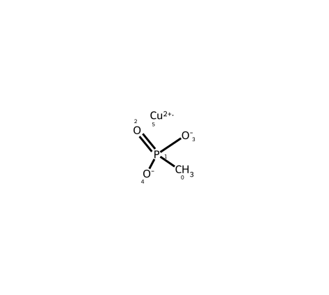 CP(=O)([O-])[O-].[Cu+2]